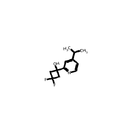 CC(C)c1ccnc(C2(O)CC(F)(F)C2)c1